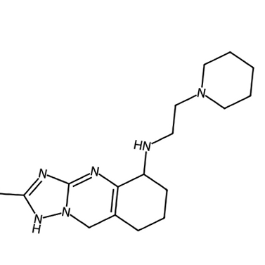 CSC1=NC2=NC3=C(CCCC3NCCN3CCCCC3)CN2N1